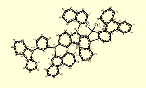 CC1(C)c2c(ccc3c4ccccc4c4ccccc4c23)-c2c1c1c(c3ccccc23)c2cc(N(c3cccc(-n4c5ccccc5c5ccccc54)c3)c3cc4ccccc4c4ccccc34)ccc2n1-c1nccc2ccccc12